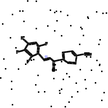 CSc1ccc(C(=O)/C=C/c2c(F)cc(F)c(F)c2F)cc1